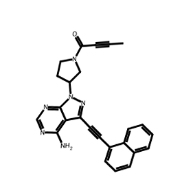 CC#CC(=O)N1CCC(n2nc(C#Cc3cccc4ccccc34)c3c(N)ncnc32)C1